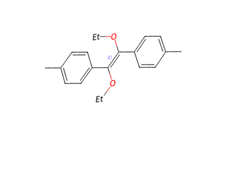 CCO/C(=C(/OCC)c1ccc(C)cc1)c1ccc(C)cc1